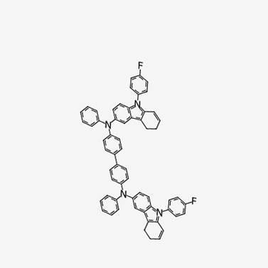 Fc1ccc(-n2c3c(c4cc(N(c5ccccc5)c5ccc(-c6ccc(N(c7ccccc7)c7ccc8c(c7)c7c(n8-c8ccc(F)cc8)C=CCC7)cc6)cc5)ccc42)CCC=C3)cc1